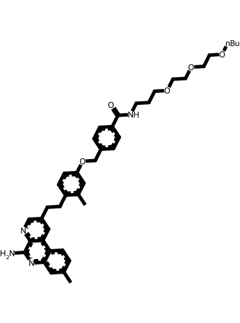 CCCCOCCOCCOCCCNC(=O)c1ccc(COc2ccc(CCc3cnc4c(N)nc5cc(C)ccc5c4c3)c(C)c2)cc1